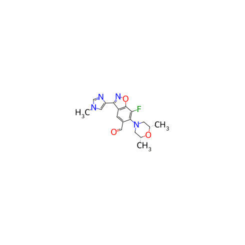 C[C@@H]1CN(c2c(C=O)cc3c(-c4cn(C)cn4)noc3c2F)C[C@H](C)O1